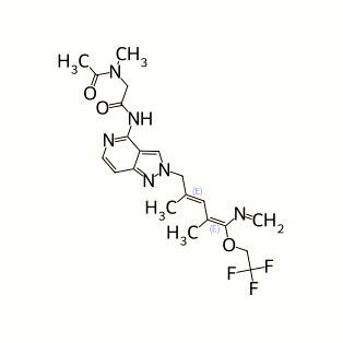 C=N/C(OCC(F)(F)F)=C(C)\C=C(/C)Cn1cc2c(NC(=O)CN(C)C(C)=O)nccc2n1